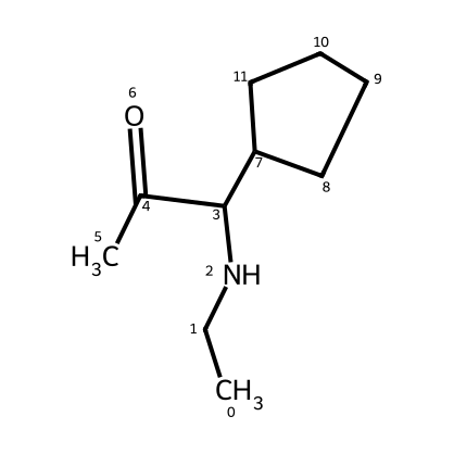 CCNC(C(C)=O)C1CCCC1